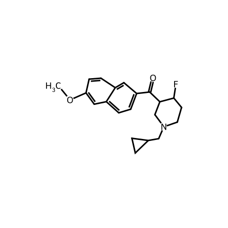 COc1ccc2cc(C(=O)C3CN(CC4CC4)CCC3F)ccc2c1